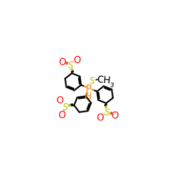 CS[PH](C1=CC(=S(=O)=O)CC=C1)(C1=CC(=S(=O)=O)CC=C1)C1=CC(=S(=O)=O)CC=C1